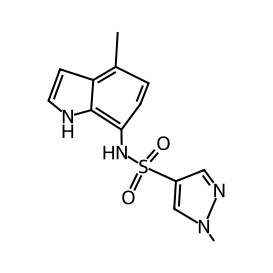 Cc1ccc(NS(=O)(=O)c2cnn(C)c2)c2[nH]ccc12